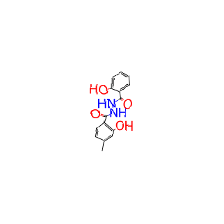 Cc1ccc(C(=O)NNC(=O)c2ccccc2O)c(O)c1